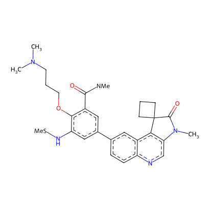 CNC(=O)c1cc(-c2ccc3ncc4c(c3c2)C2(CCC2)C(=O)N4C)cc(NSC)c1OCCCN(C)C